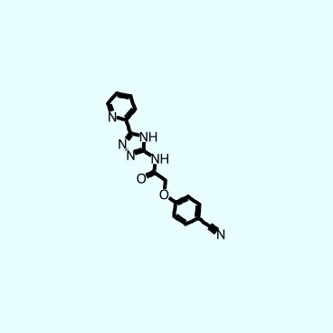 N#Cc1ccc(OCC(=O)Nc2nnc(-c3ccccn3)[nH]2)cc1